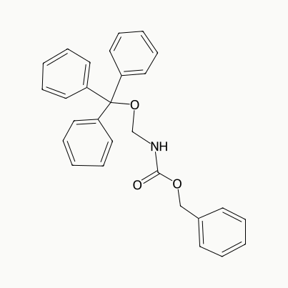 O=C(NCOC(c1ccccc1)(c1ccccc1)c1ccccc1)OCc1ccccc1